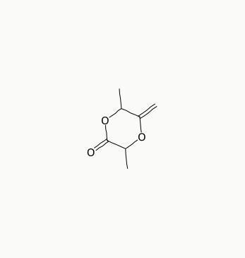 C=C1OC(C)C(=O)OC1C